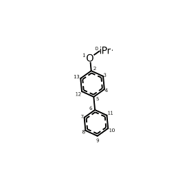 C[C](C)Oc1ccc(-c2ccccc2)cc1